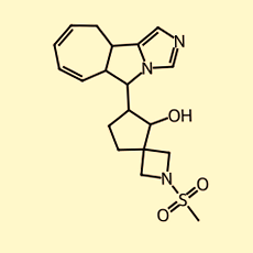 CS(=O)(=O)N1CC2(CCC(C3C4C=CC=CCC4c4cncn43)C2O)C1